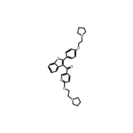 O=C(c1ccc(OCCN2CCCC2)nc1)c1c(-c2ccc(OCCN3CCCC3)cc2)sc2ccccc12